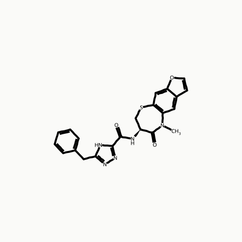 CN1C(=O)[C@@H](NC(=O)c2nnc(Cc3ccccc3)[nH]2)CSc2cc3occc3cc21